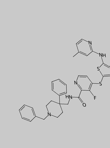 Cc1ccnc(Nc2ncc(Sc3ccnc(C(=O)NCC4(c5ccccc5)CCN(Cc5ccccc5)CC4)c3F)s2)c1